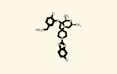 C[C@@H]1CN(C2(CCOc3cc(CC(=O)O)ccc3Cl)CCN(c3nc4ccc(Cl)cc4s3)CC2)C[C@H](C)O1